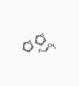 C=CF.c1ccsc1.c1ccsc1